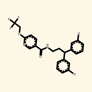 O=C(NCCC(c1cccc(Cl)c1)c1cccc(Cl)c1)c1ccc(OCC(F)(F)F)nc1